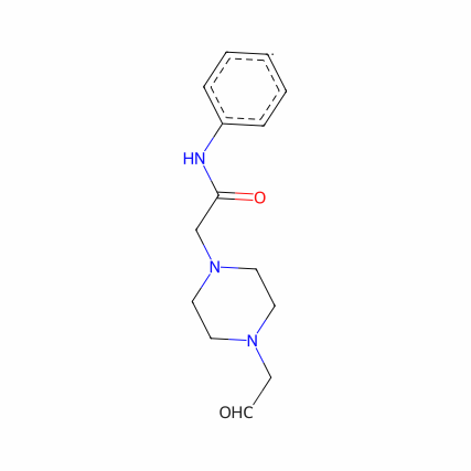 O=CCN1CCN(CC(=O)Nc2cc[c]cc2)CC1